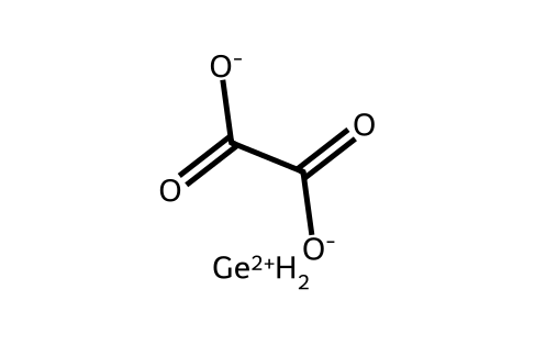 O=C([O-])C(=O)[O-].[GeH2+2]